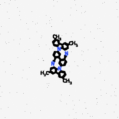 Cc1ccc2c(c1)c1cc(C)ccc1n2-c1ccc(C#N)c(-c2cc(-n3c4ccc(C)cc4c4cc(C)ccc43)ccc2C#N)c1